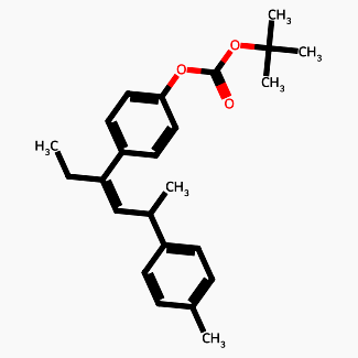 CC/C(=C/C(C)c1ccc(C)cc1)c1ccc(OC(=O)OC(C)(C)C)cc1